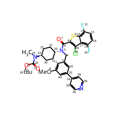 COc1cc(CN(C(=O)c2sc3c(F)ccc(F)c3c2Cl)[C@H]2CC[C@H](N(C)C(=O)OC(C)(C)C)CC2)cc(-c2ccncc2)c1